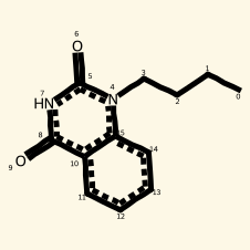 CCCCn1c(=O)[nH]c(=O)c2ccccc21